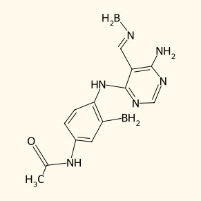 B/N=C/c1c(N)ncnc1Nc1ccc(NC(C)=O)cc1B